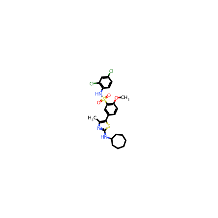 COc1ccc(-c2sc(NC3CCCCCC3)nc2C)cc1S(=O)(=O)Nc1ccc(Cl)cc1Cl